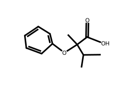 CC(C)C(C)(Oc1ccccc1)C(=O)O